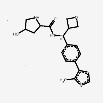 Cc1ncsc1-c1ccc([C@@H](NC(=O)C2CC(O)CN2)C2COC2)cc1